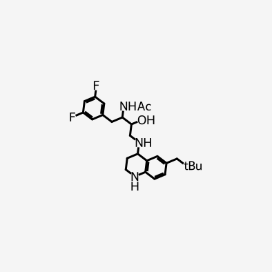 CC(=O)NC(Cc1cc(F)cc(F)c1)C(O)CNC1CCNc2ccc(CC(C)(C)C)cc21